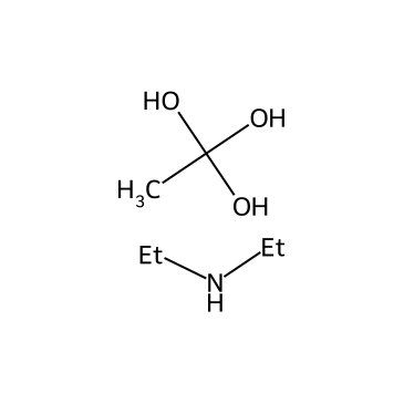 CC(O)(O)O.CCNCC